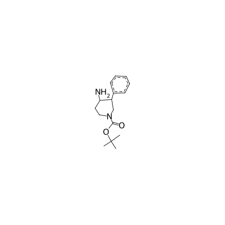 CC(C)(C)OC(=O)N1CCC(N)C(c2ccccc2)C1